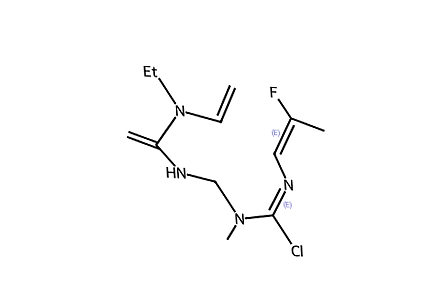 C=CN(CC)C(=C)NCN(C)/C(Cl)=N\C=C(/C)F